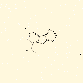 CC(Br)c1cccc2c1Cc1ccccc1-2